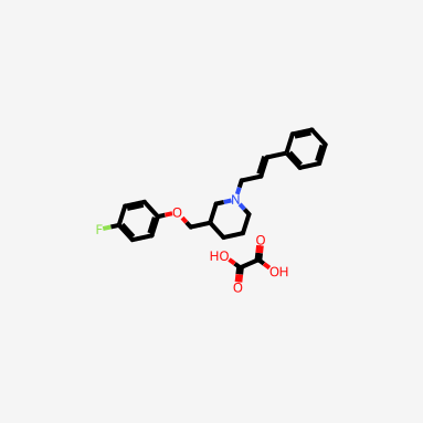 Fc1ccc(OCC2CCCN(CC=Cc3ccccc3)C2)cc1.O=C(O)C(=O)O